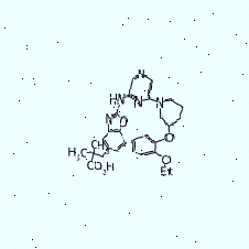 CCOc1ccccc1OC1CCCN(c2cncc(Nc3nc4cc(CC(C)(C)C(=O)O)ccc4o3)n2)C1